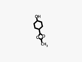 CC1OC(C2CCC(O)CC2)O1